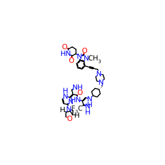 Cn1c(=O)n(C2CCC(=O)NC2=O)c2cccc(C#CCN3CCN(C[C@H]4CC[C@H](N/C=C(/NC(=O)/C(C=N)=C5\N=C(N6C[C@H]7C[C@@H]6CO7)C=CN5)C(=N)C(F)(F)F)CC4)CC3)c21